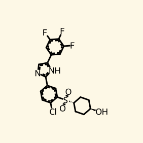 O=S(=O)(c1cc(-c2ncc(-c3cc(F)c(F)c(F)c3)[nH]2)ccc1Cl)[C@H]1CC[C@H](O)CC1